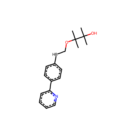 CC(C)(O)C(C)(C)OCBc1ccc(-c2ccccn2)cc1